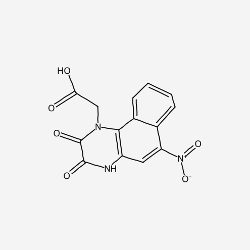 O=C(O)Cn1c(=O)c(=O)[nH]c2cc([N+](=O)[O-])c3ccccc3c21